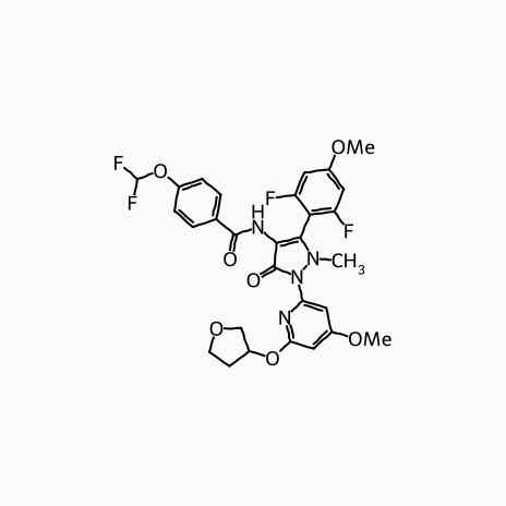 COc1cc(OC2CCOC2)nc(-n2c(=O)c(NC(=O)c3ccc(OC(F)F)cc3)c(-c3c(F)cc(OC)cc3F)n2C)c1